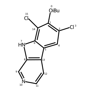 CC(C)COc1c(Cl)cc2c([nH]c3cnccc32)c1Cl